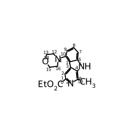 CCOC(=O)c1cc2c([nH]c3cccc(N4CCOCC4)c32)c(C)n1